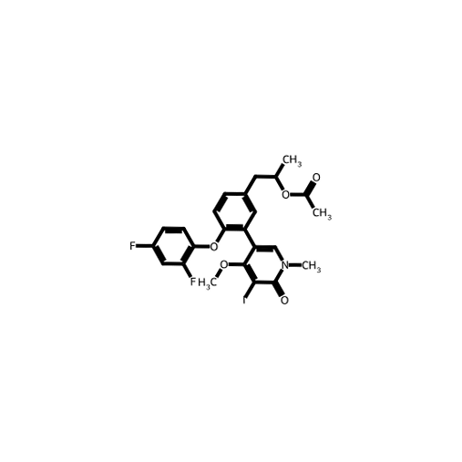 COc1c(-c2cc(CC(C)OC(C)=O)ccc2Oc2ccc(F)cc2F)cn(C)c(=O)c1I